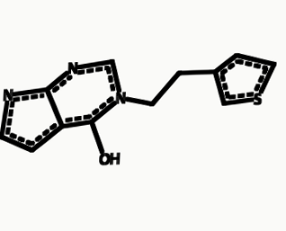 Oc1c2ccnc-2ncn1CCc1ccsc1